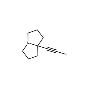 IC#CC12CCCN1CCC2